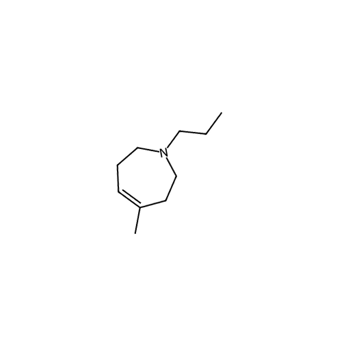 CCCN1CCC=C(C)CC1